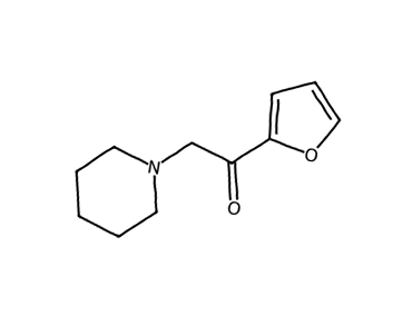 O=C(CN1CCCCC1)c1ccco1